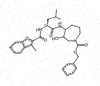 Cc1c(C(=O)N[C@@H](CC(C)C)C(=O)NC2CCCN(C(=O)OCc3ccccc3)CC2O)oc2ccccc12